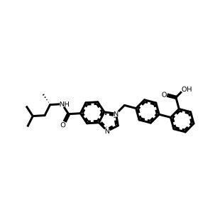 CC(C)C[C@H](C)NC(=O)c1ccc2c(c1)ncn2Cc1ccc(-c2ccccc2C(=O)O)cc1